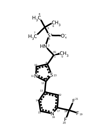 C[C@H](N[S+]([O-])C(C)(C)C)c1cnc(-c2ccnc(C(F)(F)F)c2)s1